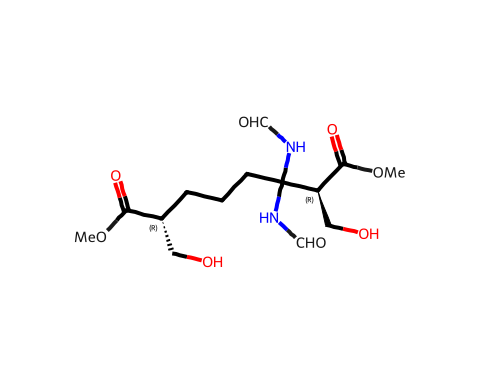 COC(=O)[C@@H](CO)CCCC(NC=O)(NC=O)[C@H](CO)C(=O)OC